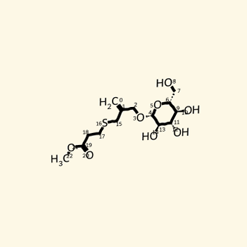 C=C(CO[C@@H]1O[C@H](CO)[C@@H](O)[C@H](O)[C@H]1O)CSCCC(=O)OC